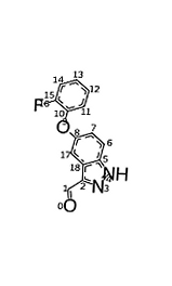 O=Cc1n[nH]c2ccc(Oc3ccccc3F)cc12